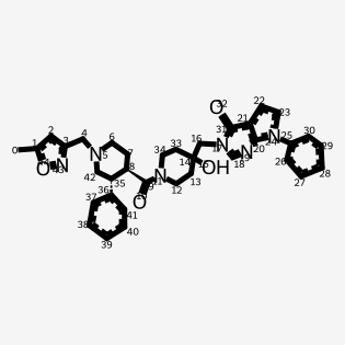 Cc1cc(CN2CC[C@@H](C(=O)N3CCC(O)(Cn4cnc5c(ccn5-c5ccccc5)c4=O)CC3)[C@H](c3ccccc3)C2)no1